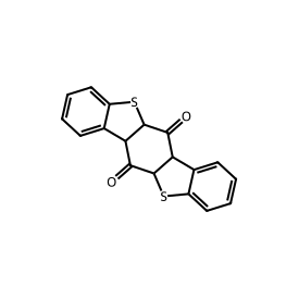 O=C1C2Sc3ccccc3C2C(=O)C2Sc3ccccc3C12